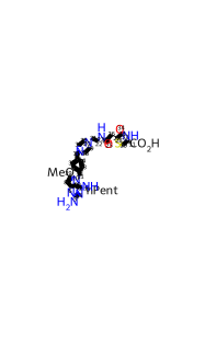 CCCCCNc1nc(N)nc2ccn(Cc3ccc(CN4CCN(CCNC(=O)C[C@H]5SC[C@@H](C(=O)O)NC5=O)CC4)cc3OC)c12